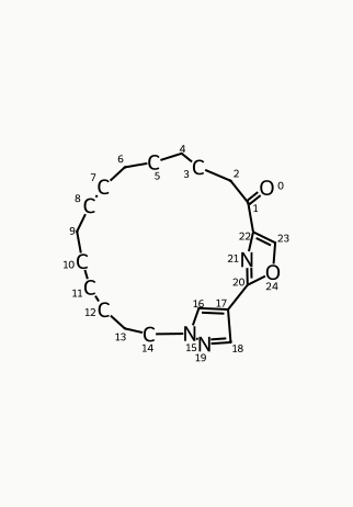 O=C1CCCCCCCCCCCCCn2cc(cn2)-c2nc1co2